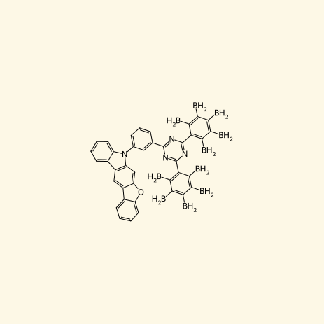 Bc1c(B)c(B)c(-c2nc(-c3cccc(-n4c5ccccc5c5cc6c(cc54)oc4ccccc46)c3)nc(-c3c(B)c(B)c(B)c(B)c3B)n2)c(B)c1B